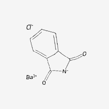 O=C1[N-]C(=O)c2ccccc21.[Ba+2].[Cl-]